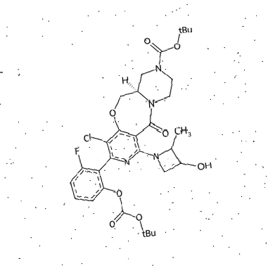 CC1C(O)CN1c1nc(-c2c(F)cccc2OC(=O)OC(C)(C)C)c(Cl)c2c1C(=O)N1CCN(C(=O)OC(C)(C)C)C[C@@H]1CO2